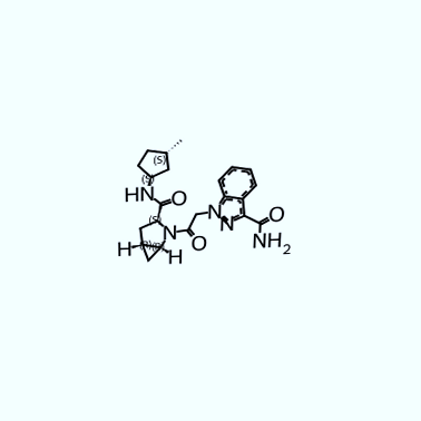 C[C@H]1CC[C@H](NC(=O)[C@@H]2C[C@H]3C[C@H]3N2C(=O)Cn2nc(C(N)=O)c3ccccc32)C1